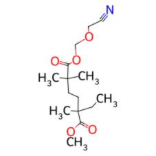 CCC(C)(CCC(C)(C)C(=O)OCOCC#N)C(=O)OC